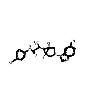 CC(C(=O)Nc1ccc(Cl)cc1)[C@H]1[C@@H]2C[C@@H](n3cnc4ccc(C#N)cc43)C[C@@H]21